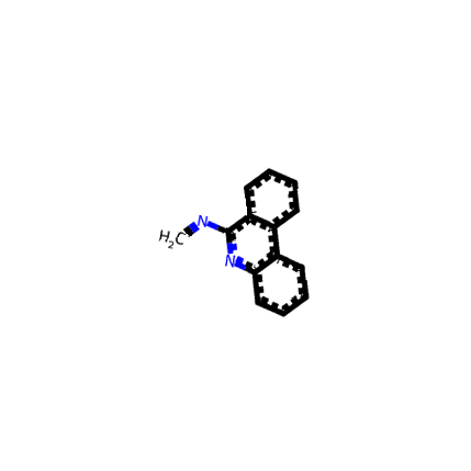 C=Nc1nc2ccccc2c2ccccc12